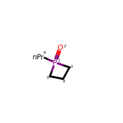 CCCP1(=O)CCC1